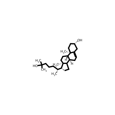 C[C@H](CCCC(C)(C)O)[C@H]1CCC2[C@@H]3CC=C4C[C@@H](O)CC[C@]4(C)[C@H]3CC[C@@]21C